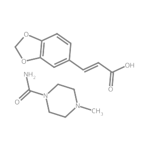 CN1CCN(C(N)=O)CC1.O=C(O)/C=C/c1ccc2c(c1)OCO2